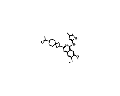 COc1cc2nc(N3CC4(CCN(C(C)=O)CC4)C3)nc(Nc3cc(C)n[nH]3)c2cc1OC